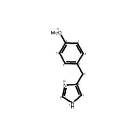 COc1ccc(Cc2c[nH]cn2)cc1